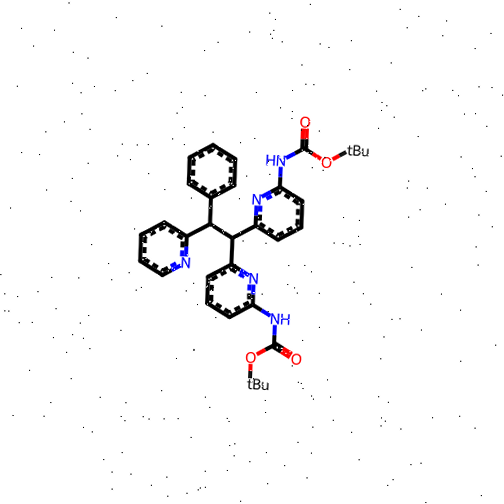 CC(C)(C)OC(=O)Nc1cccc(C(c2cccc(NC(=O)OC(C)(C)C)n2)C(c2ccccc2)c2ccccn2)n1